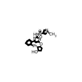 CC(C)c1ccccc1-c1cc(O[C@@H]2CC[C@H](O)C2)nc(NS(=O)(=O)c2cnn(C)c2)n1